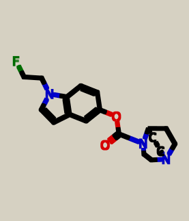 O=C(Oc1ccc2c(ccn2CCF)c1)N1CCN2CCC1CC2